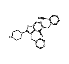 N#Cc1ccccc1Cn1ncc2nc(N3CCNCC3)n(Cc3ccccc3)c2c1=O